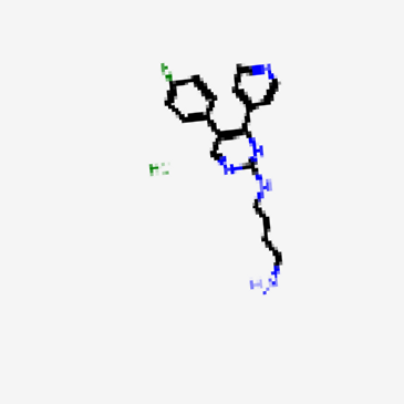 Cl.NCCCCNc1ncc(-c2ccc(F)cc2)c(-c2ccncc2)n1